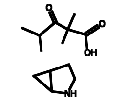 C1CC2CC2N1.CC(C)C(=O)C(C)(C)C(=O)O